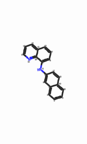 c1ccc2cc(Nc3cccc4cccnc34)ccc2c1